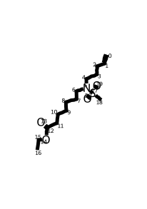 C=CCCCN(CCCCCCC(=O)OCC)S(C)(=O)=O